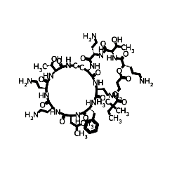 CCC(C)(C)C(=O)OCCC(=O)O[C@@H](CCCN)C(=O)N[C@H](C(=O)N[C@@H](CCN)C(=O)N[C@H]1CCNC(=O)[C@H]([C@H](C)O)NC(=O)[C@H](CCN)NC(=O)[C@H](CCN)NC(=O)[C@H](CC(C)C)NC(=O)[C@@H](Cc2ccccc2)NC(=O)[C@H](CCN)NC1=O)C(C)O